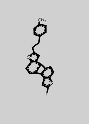 Cc1ccc(CCc2cc3c4c(ccc3s2)-c2c-4ccc3sc(F)cc23)cc1